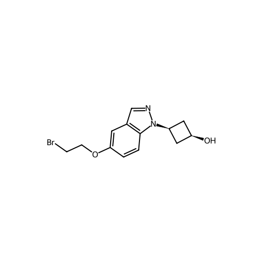 O[C@H]1C[C@@H](n2ncc3cc(OCCBr)ccc32)C1